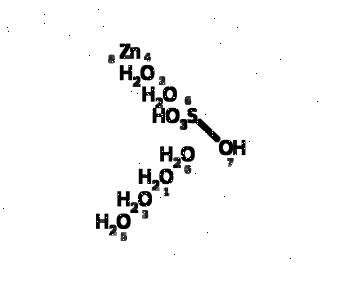 O.O.O.O.O.O.O=S(=O)(O)O.[Zn]